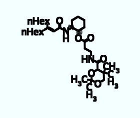 CCCCCCC(=CC(=O)N[C@H]1CCCC[C@@H]1OC(=O)CCNC(=O)C1OC(C)(C)OCC1(C)C)CCCCCC